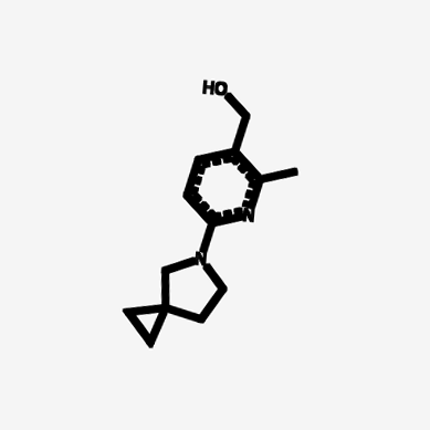 Cc1nc(N2CCC3(CC3)C2)ccc1CO